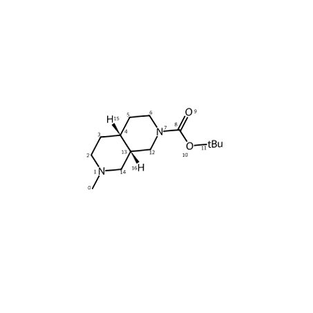 CN1CC[C@@H]2CCN(C(=O)OC(C)(C)C)C[C@@H]2C1